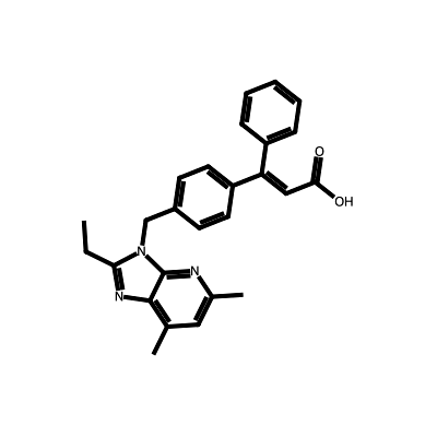 CCc1nc2c(C)cc(C)nc2n1Cc1ccc(C(=CC(=O)O)c2ccccc2)cc1